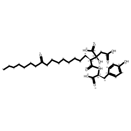 CCCCCCCC(=O)CCCCCCCC[C@H](C(=O)N[C@@H](Cc1ccc(O)cc1)C(=O)O)[C@@](O)(CC(=O)O)C(=O)O